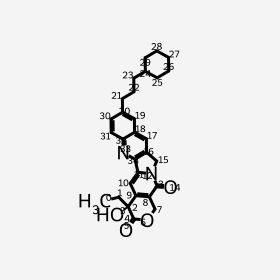 CC[C@@]1(O)C(=O)OCc2c1cc1n(c2=O)Cc2cc3cc(CCCC4CCCCC4)ccc3nc2-1